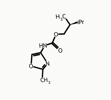 Cc1nc(NC(=O)OC[C@@H](C)C(C)C)co1